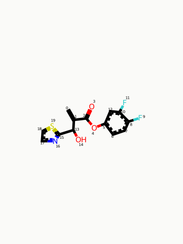 C=C(C(=O)Oc1ccc(F)c(F)c1)C(O)c1nccs1